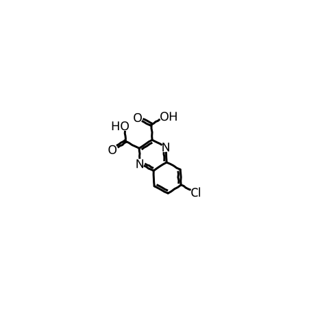 O=C(O)c1nc2ccc(Cl)cc2nc1C(=O)O